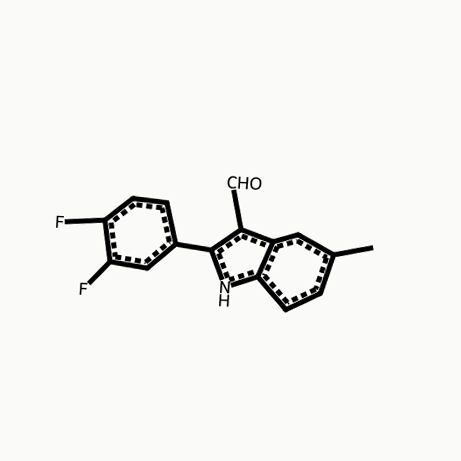 Cc1ccc2[nH]c(-c3ccc(F)c(F)c3)c(C=O)c2c1